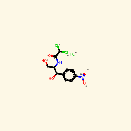 Cl.O=C(NC(CO)C(O)c1ccc([N+](=O)[O-])cc1)C(Cl)Cl